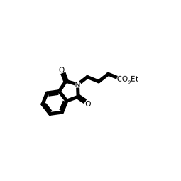 CCOC(=O)[CH]CCN1C(=O)c2ccccc2C1=O